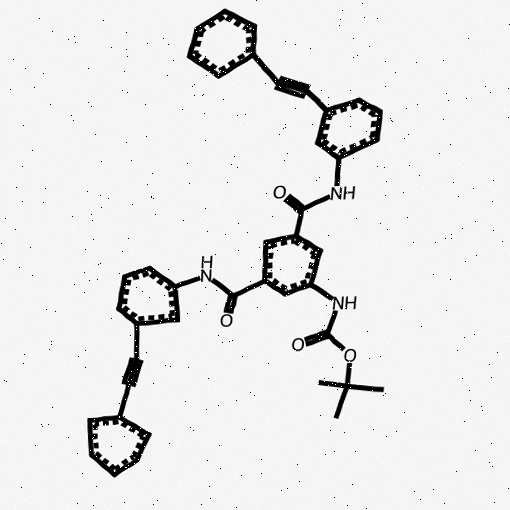 CC(C)(C)OC(=O)Nc1cc(C(=O)Nc2cccc(C#Cc3ccccc3)c2)cc(C(=O)Nc2cccc(C#Cc3ccccc3)c2)c1